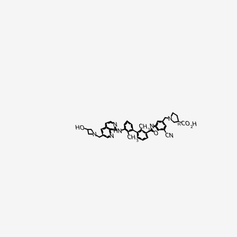 Cc1c(Nc2nccc3cc(CN4CC(O)C4)cnc23)cccc1-c1cccc(-c2nc3cc(CN4CC[C@@H](C(=O)O)C4)cc(C#N)c3o2)c1C